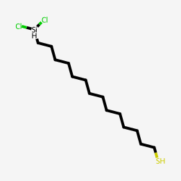 SCCCCCCCCCCCCCC[SiH](Cl)Cl